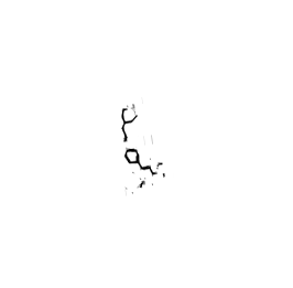 CCN1CCC(CCOc2ccc(-c3nc(C#N)nc4c3ncn4C)cc2C)CC1